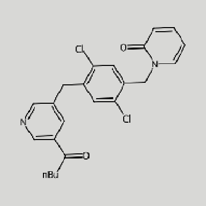 CCCCC(=O)c1cncc(Cc2cc(Cl)c(Cn3ccccc3=O)cc2Cl)c1